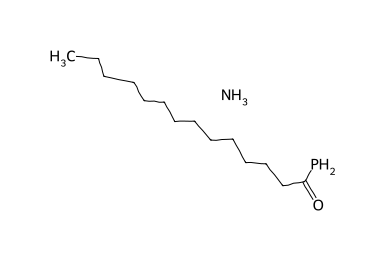 CCCCCCCCCCCCCC(=O)P.N